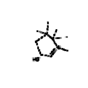 C[N+]1=CCCC(C)(C)C1(C)C.[OH-]